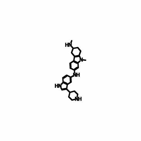 CNC1CCc2c(c3ccc(Nc4ccc5[nH]cc(C6CCNCC6)c5c4)cc3n2C)C1